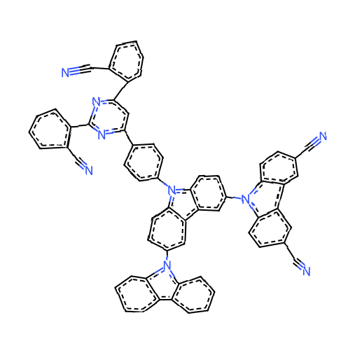 N#Cc1ccc2c(c1)c1cc(C#N)ccc1n2-c1ccc2c(c1)c1cc(-n3c4ccccc4c4ccccc43)ccc1n2-c1ccc(-c2cc(-c3ccccc3C#N)nc(-c3ccccc3C#N)n2)cc1